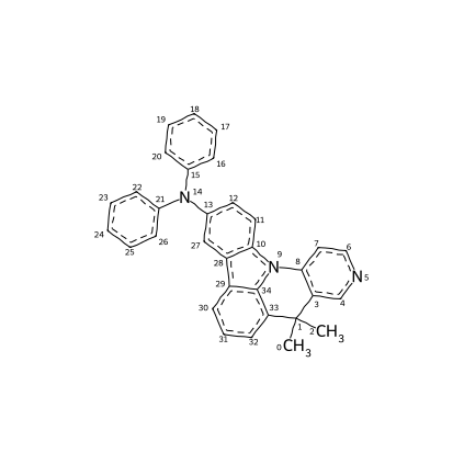 CC1(C)c2cnccc2-n2c3ccc(N(c4ccccc4)c4ccccc4)cc3c3cccc1c32